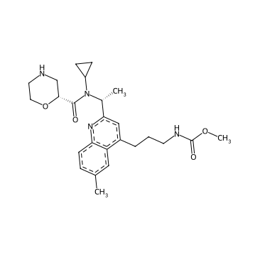 COC(=O)NCCCc1cc([C@@H](C)N(C(=O)[C@H]2CNCCO2)C2CC2)nc2ccc(C)cc12